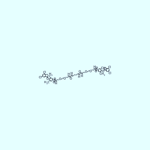 Cc1cc(S(=O)(=O)NCCOCCOCCNC(=O)NCCCCNC(=O)NCCOCCOCCNS(=O)(=O)c2cc(C)c(O[C@@H]3CCc4c(Cl)cc(Cl)cc43)c(C)c2)cc(C)c1O[C@@H]1CCc2c(Cl)cc(Cl)cc21